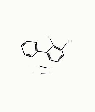 Nc1cccc(-c2ccccc2)c1N.O=C(O)O.O=C(O)O